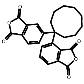 O=C1OC(=O)c2cc(C3(c4cccc5c4C(=O)OC5=O)CCCCCCCC3)ccc21